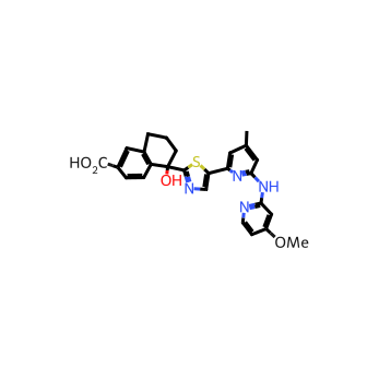 COc1ccnc(Nc2cc(C)cc(-c3cnc(C4(O)CCCc5cc(C(=O)O)ccc54)s3)n2)c1